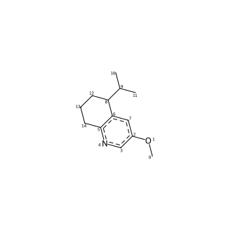 COc1cnc2c(c1)C(C(C)C)CCC2